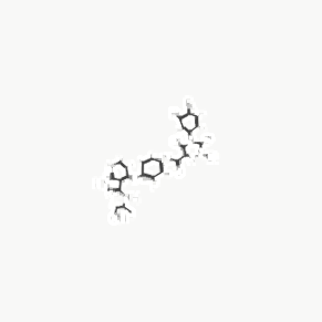 CCn1nc(C(=O)Nc2ccc(Oc3ccnc4[nH]nc(NC(C)CO)c34)c(F)c2)c(=O)n(-c2ccc(F)c(F)c2)c1=O